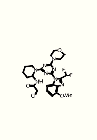 COc1cccc2c1nc(C(F)F)n2-c1nc(N2CCOCC2)nc(N2CCCCC2NC(=O)CCl)n1